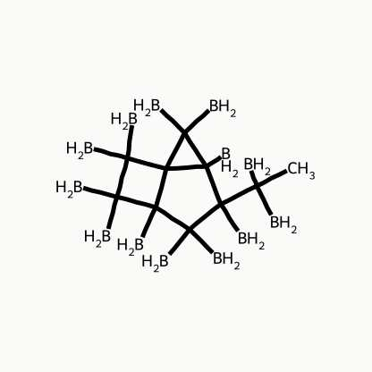 BC(B)(C)C1(B)C(B)(B)C2(B)C(B)(B)C(B)(B)C23C(B)(B)C13B